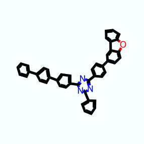 c1ccc(-c2ccc(-c3ccc(-c4nc(-c5ccccc5)nc(-c5ccc(-c6ccc7oc8ccccc8c7c6)cc5)n4)cc3)cc2)cc1